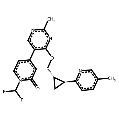 Cc1ccc([C@H]2C[C@@H]2COc2nc(C)ncc2-c2ccn(C(F)F)c(=O)c2)nc1